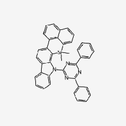 C[Si]1(C)c2cccc3cccc(c23)-c2ccc3c4ccccc4n(-c4nc(-c5ccccc5)nc(-c5ccccc5)n4)c3c21